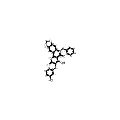 O=c1oc2c(c(O)c1Sc1cccc(Cl)c1)c(=O)n(Cc1ccccc1)c1cc3c(cc21)OCO3